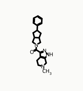 CN1CCc2c(C(=O)N3CC4CC(c5ccccc5)CC4C3)n[nH]c2C1